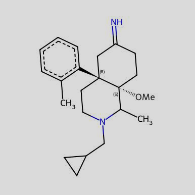 CO[C@@]12CCC(=N)C[C@@]1(c1ccccc1C)CCN(CC1CC1)C2C